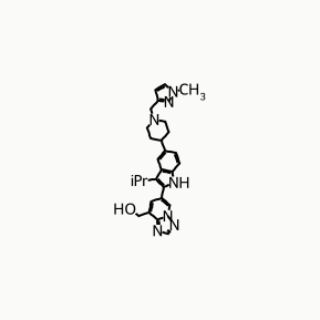 CC(C)c1c(-c2cc(CO)c3ncnn3c2)[nH]c2ccc(C3CCN(Cc4ccn(C)n4)CC3)cc12